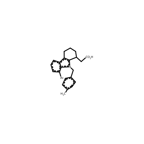 CC(=O)c1cccc2c3c(n(Cc4ccc(C)cc4)c12)C(CC(=O)O)CCC3